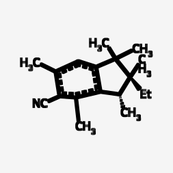 CC[C@@]1(C)[C@H](C)c2c(cc(C)c(C#N)c2C)C1(C)C